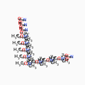 CCOC[N+]1(C)CCCC1.CCOC[N+]1(C)CCCC1.CCOC[N+]1(C)CCCC1.CCOC[N+]1(C)CCCC1.CCOC[N+]1(C)CCCC1.CCOC[N+]1(C)CCCC1.CCOC[N+]1(C)CCCC1.CCOC[N+]1(C)CCCC1.N#CB([O-])[O-].N#CB([O-])[O-].N#CB([O-])[O-].N#CB([O-])[O-]